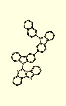 c1ccc2cc(-n3c4ccccc4c4ccc(-c5ccc6c(c5)c5ccccc5n6-c5nc6ccccc6c6nc7ccccc7n56)cc43)ccc2c1